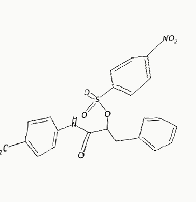 O=C(O)c1ccc(NC(=O)C(Cc2ccccc2)OS(=O)(=O)c2ccc([N+](=O)[O-])cc2)cc1